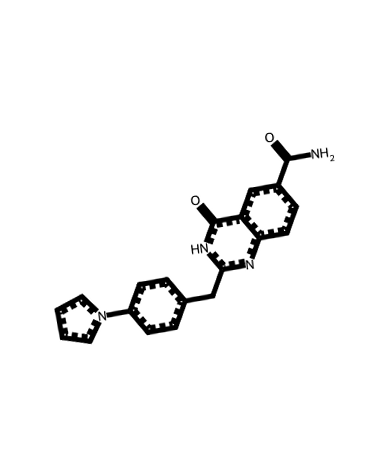 NC(=O)c1ccc2nc(Cc3ccc(-n4cccc4)cc3)[nH]c(=O)c2c1